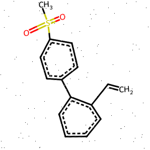 C=Cc1ccccc1-c1ccc(S(C)(=O)=O)cc1